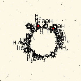 CC(C)[C@]1(C)NC(=O)[C@H](Cc2ccc(O)cc2)NC(=O)[C@H](CCC(=O)O)NC(=O)[C@H](CCCCN)NC(=O)[C@H](Cc2c[nH]c3ncccc23)NC(=O)[C@H]([C@@H](C)O)NC(=O)[C@H](CCCCN)NC(=O)[C@H](Cc2ccc(O)cc2)NC(=O)[C@H](C(C)(C)C)NC(=O)CCSCc2cccc(c2)CSC[C@@H](C(N)=O)NC(=O)[C@H]([C@@H](C)O)NC1=O